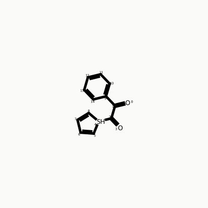 O=C(C(=O)[SH]1C=CC=C1)c1ccccc1